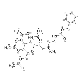 CC(=O)NC1C(OCN(C)CCNC(=O)OCc2ccccc2)OC(COC(C)=O)C(OC(C)=O)C1OC(C)=O